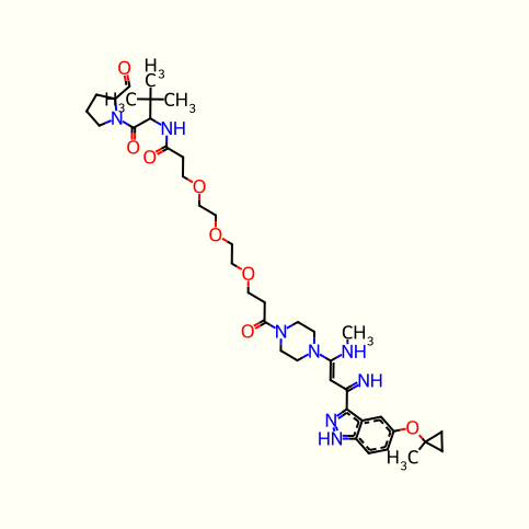 CN/C(=C\C(=N)c1n[nH]c2ccc(OC3(C)CC3)cc12)N1CCN(C(=O)CCOCCOCCOCCC(=O)NC(C(=O)N2CCCC2C=O)C(C)(C)C)CC1